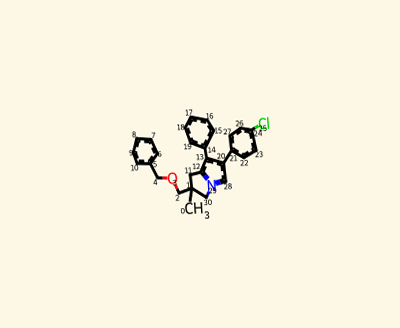 CC1(COCc2ccccc2)Cc2c(-c3ccccc3)c(-c3ccc(Cl)cc3)cn2C1